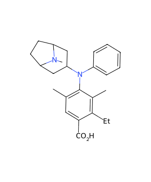 CCc1c(C(=O)O)cc(C)c(N(c2ccccc2)C2CC3CCC(C2)N3C)c1C